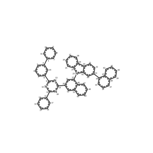 c1ccc(-c2cccc(-c3nc(-c4ccccc4)nc(-c4cc(-n5c6ccccc6c6ccc(-c7cccc8ccccc78)cc65)c5ccccc5c4)n3)c2)cc1